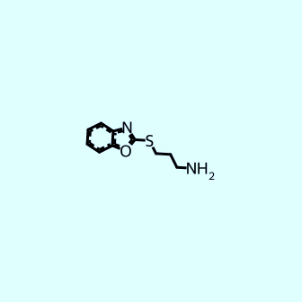 NCCCSc1nc2ccccc2o1